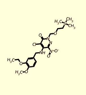 CCOc1cc(CNc2c([N+](=O)[O-])nn(COCC[Si](C)(C)C)c(=O)c2Cl)ccc1OC